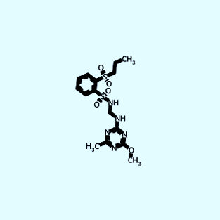 CCCS(=O)(=O)c1ccccc1S(=O)(=O)NCNc1nc(C)nc(OC)n1